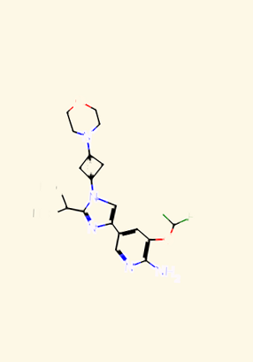 CC(C)c1nc(-c2cnc(N)c(OC(F)F)c2)cn1C12CC(N3CCOCC3)(C1)C2